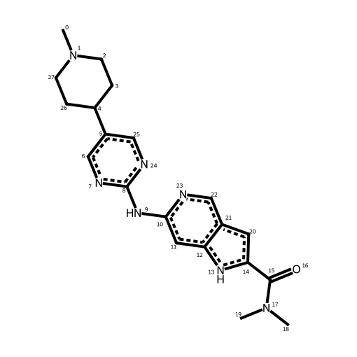 CN1CCC(c2cnc(Nc3cc4[nH]c(C(=O)N(C)C)cc4cn3)nc2)CC1